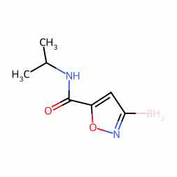 Bc1cc(C(=O)NC(C)C)on1